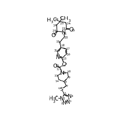 Cn1nnnc1SCC1CCN(C(=O)Oc2ccc(CCN3C(=O)CC(C)(C)CC3=O)cn2)CC1